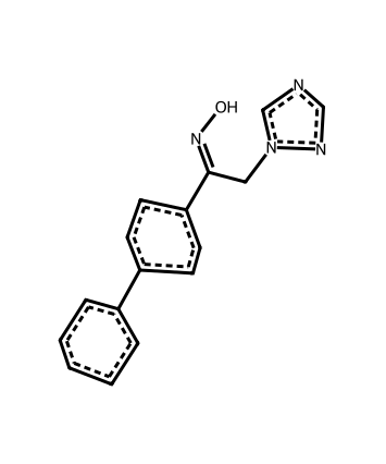 ON=C(Cn1cncn1)c1ccc(-c2ccccc2)cc1